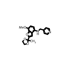 COc1ccc(NCc2ccncc2)c2cc(C3(C)OCCO3)oc12